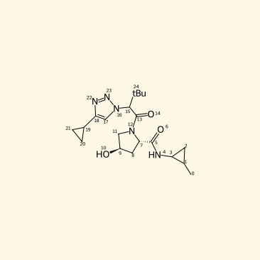 CC1CC1NC(=O)[C@@H]1C[C@@H](O)CN1C(=O)C(n1cc(C2CC2)nn1)C(C)(C)C